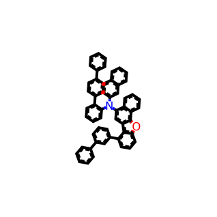 c1ccc(-c2ccc(-c3ccccc3N(c3ccc4ccccc4c3)c3cc4c(oc5cccc(-c6cccc(-c7ccccc7)c6)c54)c4ccccc34)cc2)cc1